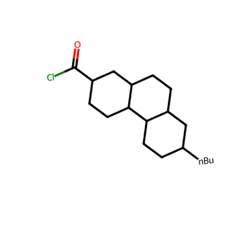 CCCCC1CCC2C(CCC3CC(C(=O)Cl)CCC32)C1